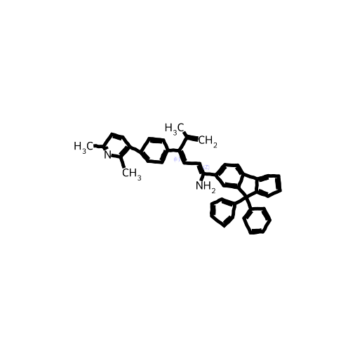 C=C(C)/C(=C\C=C(/N)c1ccc2c(c1)C(c1ccccc1)(c1ccccc1)c1ccccc1-2)c1ccc(-c2ccc(C)nc2C)cc1